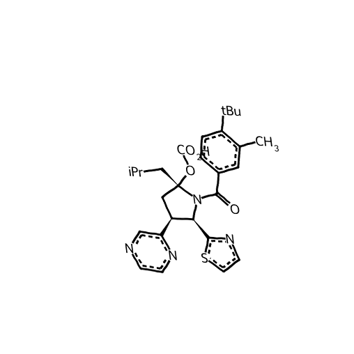 Cc1cc(C(=O)N2[C@@H](c3nccs3)[C@@H](c3cnccn3)C[C@]2(CC(C)C)OC(=O)O)ccc1C(C)(C)C